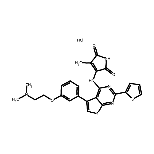 CC1=C(Nc2nc(-c3cccs3)nc3scc(-c4cccc(OCCN(C)C)c4)c23)C(=O)NC1=O.Cl